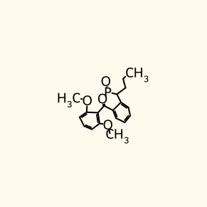 CCCC(P=O)c1ccccc1C(=O)c1c(OC)cccc1OC